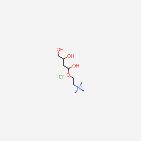 C[N+](C)(C)CCOC(O)CC(O)CO.[Cl-]